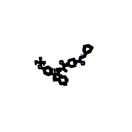 CC(Nc1c(-c2ccc(OC(F)(F)F)cc2)nc2cnccn12)C(=O)N1CCN(C(=O)/C=C/c2ccccc2)CC1